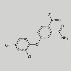 NC(=O)c1cc(Oc2ccc(Cl)cc2Cl)ccc1[N+](=O)[O-]